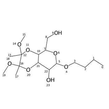 CCCCOC1OC(CO)C2OC(C)(OC)C(C)(OC)OC2C1O